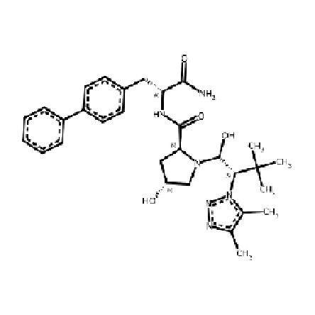 Cc1nnn([C@H](C(O)N2C[C@H](O)C[C@H]2C(=O)N[C@H](Cc2ccc(-c3ccccc3)cc2)C(N)=O)C(C)(C)C)c1C